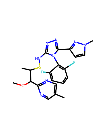 COC(c1ncc(C)cn1)C(C)SNc1nnc(-c2ccn(C)n2)n1-c1c(F)cccc1F